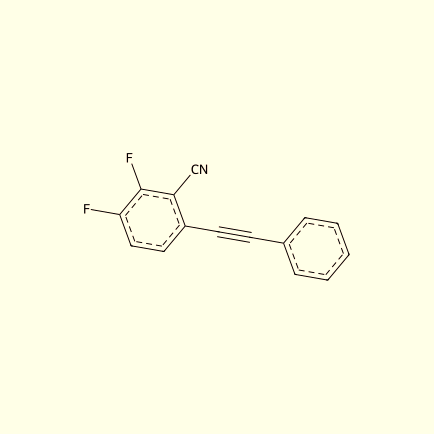 N#Cc1c(C#Cc2ccccc2)ccc(F)c1F